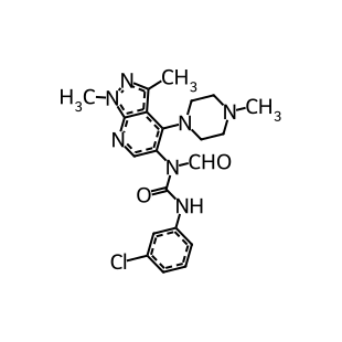 Cc1nn(C)c2ncc(N(C=O)C(=O)Nc3cccc(Cl)c3)c(N3CCN(C)CC3)c12